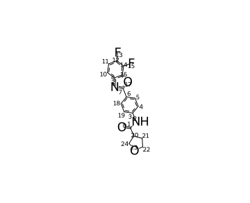 O=C(Nc1ccc(-c2nc3ccc(F)c(F)c3o2)cc1)C1CCOC1